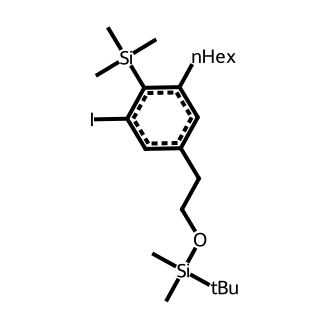 CCCCCCc1cc(CCO[Si](C)(C)C(C)(C)C)cc(I)c1[Si](C)(C)C